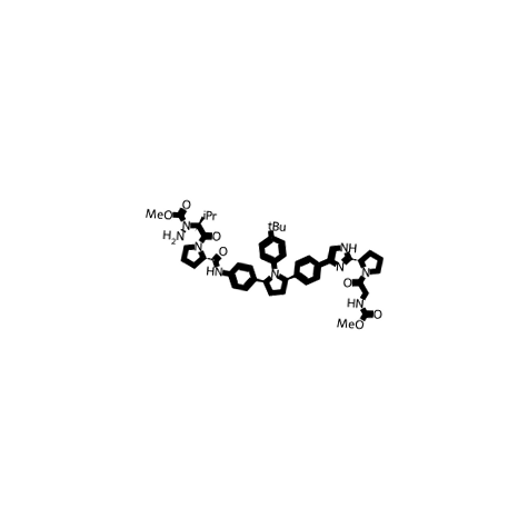 COC(=O)NCC(=O)N1CCC[C@H]1c1nc(-c2ccc([C@H]3CC[C@@H](c4ccc(NC(=O)[C@@H]5CCCN5C(=O)[C@H](C(C)C)N(N)C(=O)OC)cc4)N3c3ccc(C(C)(C)C)cc3)cc2)c[nH]1